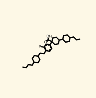 CCCCC1CCC(CCc2ccc(C3(C(=O)O)CCC(C4CCC(CCC)CC4)CC3)cc2F)CC1